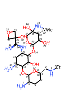 CCNC[C@@H]1CCC(N)C(OC2C(O)C(O[C@H]3OCC(N)(O)[C@H](NC)C3O)[C@H](NC(=N)C3(O)COC3)C[C@@H]2N)O1